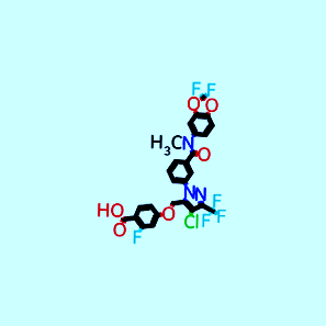 CN(C(=O)c1cccc(-n2nc(C(F)(F)F)c(Cl)c2COc2ccc(C(=O)O)c(F)c2)c1)c1ccc2c(c1)OC(F)(F)O2